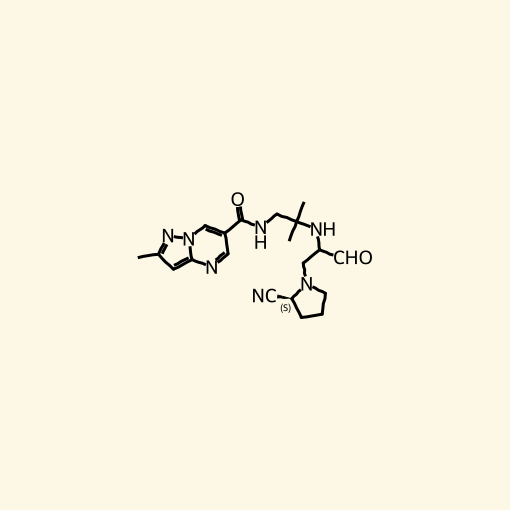 Cc1cc2ncc(C(=O)NCC(C)(C)NC(C=O)CN3CCC[C@H]3C#N)cn2n1